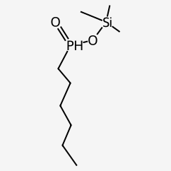 CCCCCC[PH](=O)O[Si](C)(C)C